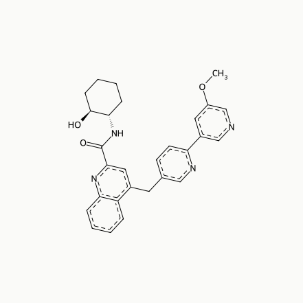 COc1cncc(-c2ccc(Cc3cc(C(=O)N[C@H]4CCCC[C@@H]4O)nc4ccccc34)cn2)c1